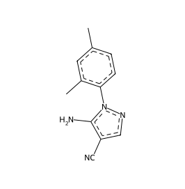 Cc1ccc(-n2ncc(C#N)c2N)c(C)c1